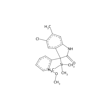 COc1ccccc1C1([Si](C)(C)C)C(=O)Nc2cc(C)c(Cl)cc21